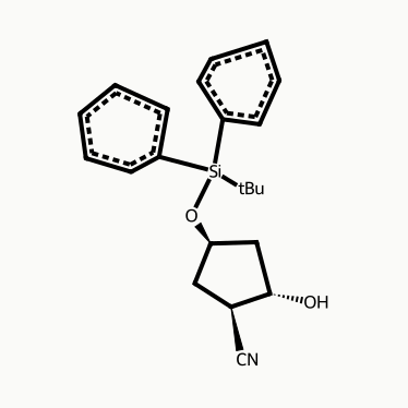 CC(C)(C)[Si](O[C@H]1C[C@H](O)[C@@H](C#N)C1)(c1ccccc1)c1ccccc1